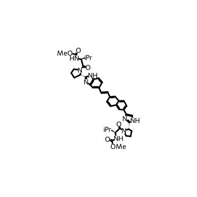 COC(=O)N[C@H](C(=O)N1CCC[C@H]1c1nc(-c2ccc3cc(/C=C/c4ccc5[nH]c([C@@H]6CCCN6C(=O)[C@@H](NC(=O)OC)C(C)C)nc5c4)ccc3c2)c[nH]1)C(C)C